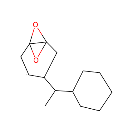 CC(C1[CH]CC23OC2(C1)O3)C1CCCCC1